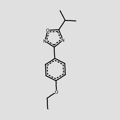 [CH2]COc1ccc(-c2noc(C(C)C)n2)cc1